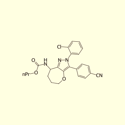 CCCOC(=O)NC1CCCOc2c1nn(-c1ccccc1Cl)c2-c1ccc(C#N)cc1